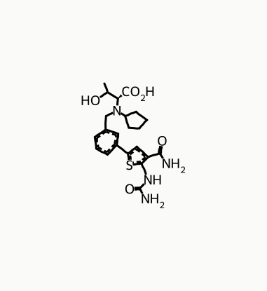 CC(O)[C@@H](C(=O)O)N(Cc1cccc(-c2cc(C(N)=O)c(NC(N)=O)s2)c1)C1CCCC1